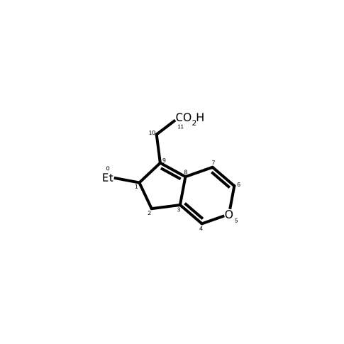 CCC1CC2=COC=CC2=C1CC(=O)O